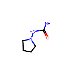 [NH]C(=O)NN1CCCC1